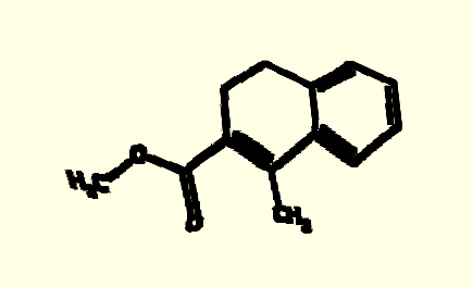 COC(=O)C1=C(C)c2ccccc2CC1